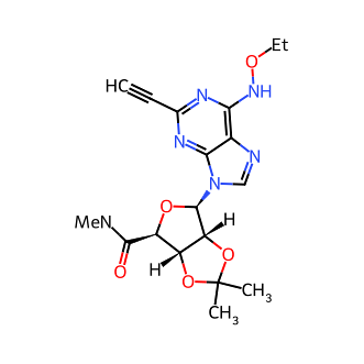 C#Cc1nc(NOCC)c2ncn([C@@H]3O[C@H](C(=O)NC)[C@H]4OC(C)(C)O[C@H]43)c2n1